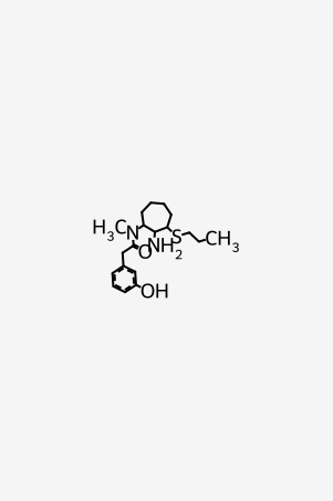 CCCSC1CCCCC(N(C)C(=O)Cc2cccc(O)c2)C1N